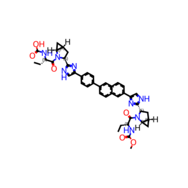 CC[C@H](NC(=O)O)C(=O)N1[C@@H]2C[C@@H]2C[C@H]1c1nc(-c2ccc(-c3ccc4cc(-c5c[nH]c([C@@H]6C[C@@H]7C[C@H]7N6C(=O)[C@H](CC)NC(=O)OC)n5)ccc4c3)cc2)c[nH]1